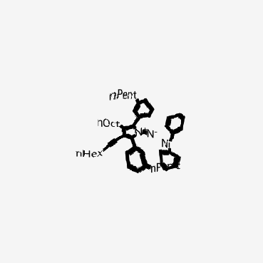 CCCCCCC#CC1=C(c2cccc(CCCCC)c2)[N+](=[N-])C(c2cccc(CCCCC)c2)=C1CCCCCCCC.c1cc[c]([Ni][c]2ccccc2)cc1